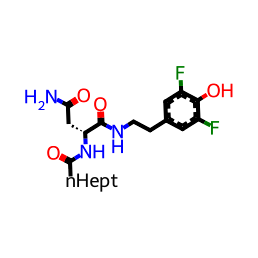 CCCCCCCC(=O)N[C@H](CC(N)=O)C(=O)NCCc1cc(F)c(O)c(F)c1